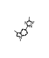 Cc1cn(C)c2ccc(-c3nc(C)n(C)n3)cc12